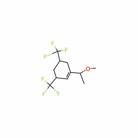 COC(C)C1=CC(C(F)(F)F)CC(C(F)(F)F)C1